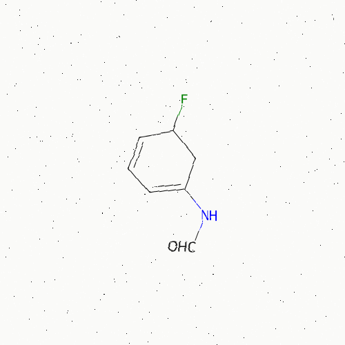 O=CNC1=CC=CC(F)C1